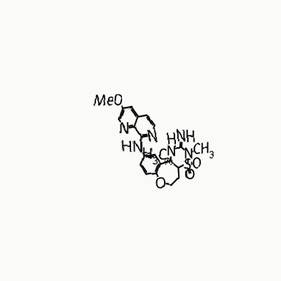 COc1cnc2c(Nc3ccc4c(c3)[C@@]3(C)NC(=N)N(C)S(=O)(=O)C3CCO4)nccc2c1